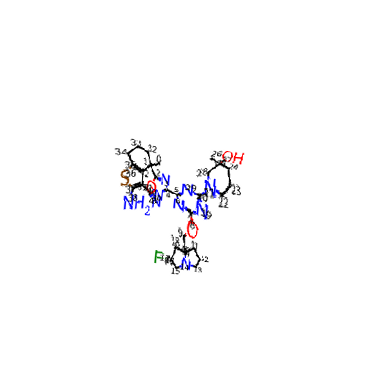 CC1(c2nc(-c3nc(OC[C@@]45CCCN4C[C@H](F)C5)nc(N4CCC[C@@](C)(O)C4)n3)no2)CCCc2sc(N)c(C#N)c21